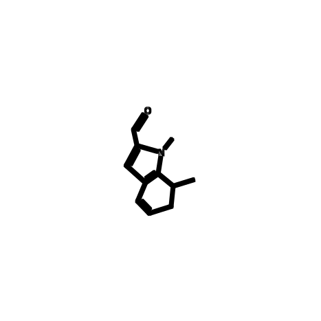 CC1CC=Cc2cc(C=O)n(C)c21